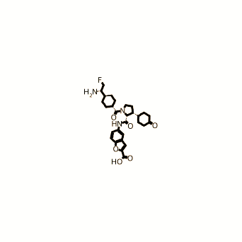 N[C@H](CF)[C@H]1CC[C@H](C(=O)N2CC[C@H](C3CCC(=O)CC3)[C@@H]2C(=O)Nc2ccc3oc(C(=O)O)cc3c2)CC1